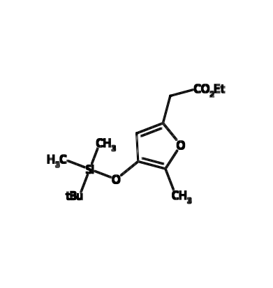 CCOC(=O)Cc1cc(O[Si](C)(C)C(C)(C)C)c(C)o1